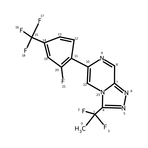 CC(F)(F)c1nnc2cnc(-c3ccc(C(F)(F)F)cc3F)cn12